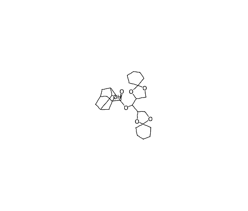 O=C(OC(C1COC2(CCCCC2)O1)C1COC2(CCCCC2)O1)C12CC3CC(C1)C(O)C(C3)C2